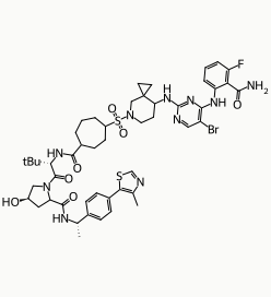 Cc1ncsc1-c1ccc([C@H](C)NC(=O)C2C[C@@H](O)CN2C(=O)[C@@H](NC(=O)C2CCCC(S(=O)(=O)N3CCC(Nc4ncc(Br)c(Nc5cccc(F)c5C(N)=O)n4)C4(CC4)C3)CC2)C(C)(C)C)cc1